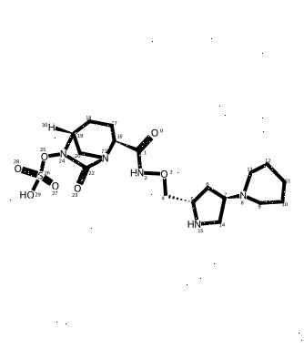 O=C(NOC[C@@H]1C[C@@H](N2CCCCC2)CN1)[C@@H]1CC[C@@H]2CN1C(=O)N2OS(=O)(=O)O